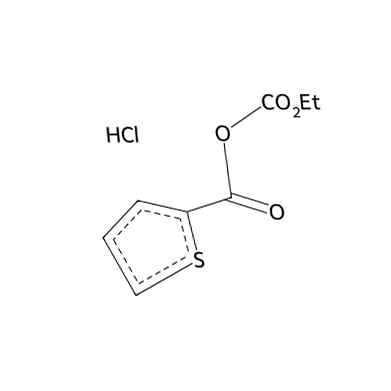 CCOC(=O)OC(=O)c1cccs1.Cl